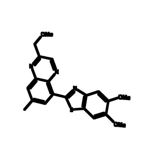 COCc1cnc2c(-c3nc4cc(OC)c(OC)cc4s3)cc(C)cc2n1